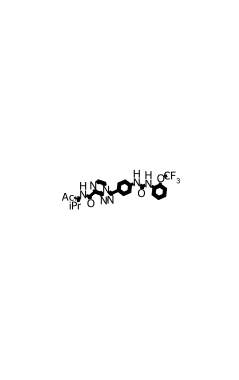 CC(=O)[C@@H](NC(=O)c1nccn2c(-c3ccc(NC(=O)Nc4ccccc4OC(F)(F)F)cc3)nnc12)C(C)C